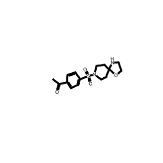 CC(=O)c1ccc(S(=O)(=O)N2CCC3(CC2)NCCO3)cc1